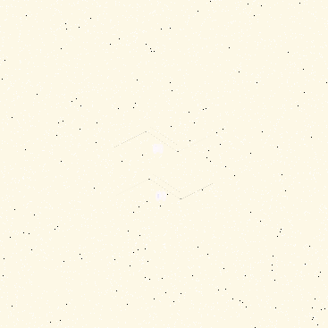 C/C=C/C.C/C=C/C